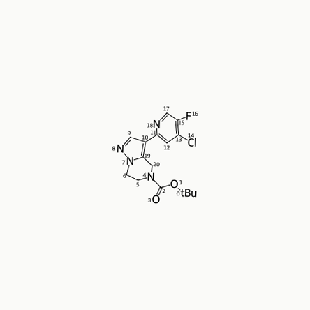 CC(C)(C)OC(=O)N1CCn2ncc(-c3cc(Cl)c(F)cn3)c2C1